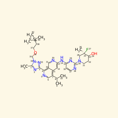 Cc1nc(-c2ncc(C(C)C)c3cc(Nc4ccnc(N5CCC(O)[C@](C)(F)C5)n4)ncc23)nn1COCC[Si](C)(C)C